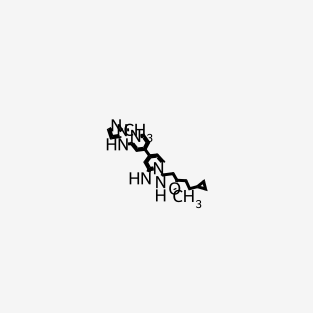 COC(CCC1CC1)CC(=N)n1ccc(-c2ccnc(Nc3ccnn3C)c2)cc1=N